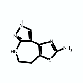 Nc1nc2c(s1)CCNc1n[nH]cc1-2